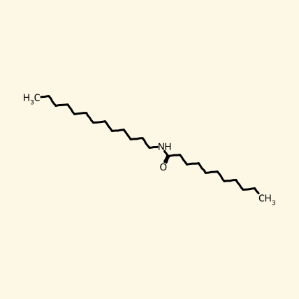 CCCCCCCCCCCCCNC(=O)CCCCCCCCCC